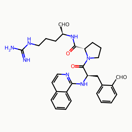 N=C(N)NCCC[C@@H](C=O)NC(=O)[C@@H]1CCCN1C(=O)[C@@H](Cc1ccccc1C=O)Nc1nccc2ccccc12